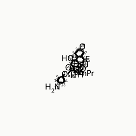 CCC[C@H]1O[C@H](C(=O)COc2ccc(N)cc2)[C@@]2(C)C[C@H](O)[C@]3(F)[C@]4(C[C@H](F)C5=CC(=O)C=C[C@@]53C)[C@@H](C[C@@H]24)O1